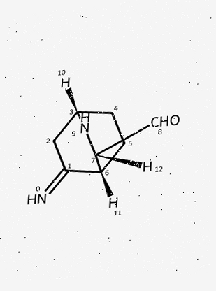 N=C1C[C@@H]2CC[C@H]1[C@@H](C=O)N2